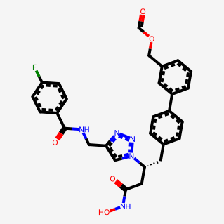 O=COCc1cccc(-c2ccc(C[C@H](CC(=O)NO)n3cc(CNC(=O)c4ccc(F)cc4)nn3)cc2)c1